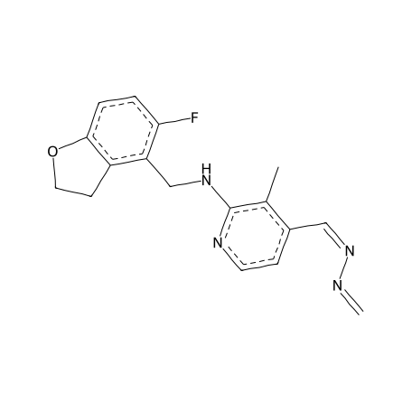 C=N/N=C\c1ccnc(NCc2c(F)ccc3c2CCO3)c1C